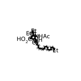 CC/C=C\C/C=C\C/C=C\C/C=C\C/C=C\CCCC(=O)NC1CC(C(=O)O)=CC(OC(CC)CC)C1NC(C)=O